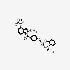 CC(=O)Oc1cccc2c1cc(C)n2C(=O)c1ccc(OC[C@H]2CN(C)c3ccccc3O2)cc1